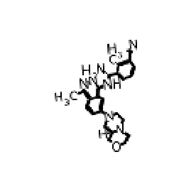 Cc1c(C#N)cccc1[C@@H](N)Nc1nnc(C)c2ccc(N3CCN4CCOC[C@@H]4C3)cc12